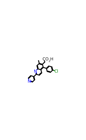 Cc1cc2nc(-c3ccncc3)ccc2c(-c2ccc(Cl)cc2)c1CC(=O)O